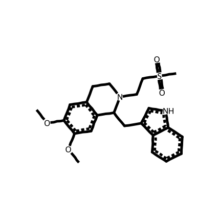 COc1cc2c(cc1OC)C(Cc1c[nH]c3ccccc13)N(CCS(C)(=O)=O)CC2